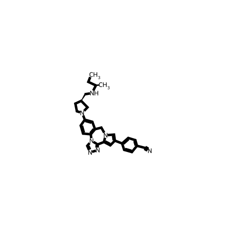 CC[C@@H](C)NC[C@@H]1CCN(c2ccc3c(c2)Cn2cc(-c4ccc(C#N)cc4)cc2-c2nncn2-3)C1